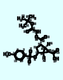 Cc1ccc(S(=O)(=O)O[C@H]2C[C@H](C(=O)ONC(=O)OC(C)(C)C)[C@H]3[C@@H](C(=O)O)[C@@H]32)cc1